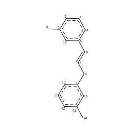 Cc1cccc(C=CCc2cccc(C)c2)c1